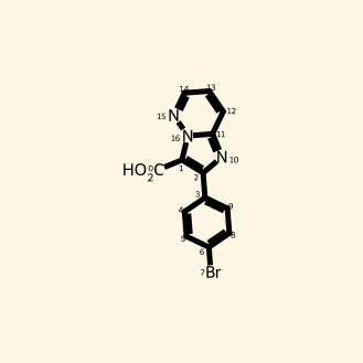 O=C(O)c1c(-c2ccc(Br)cc2)nc2cccnn12